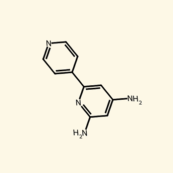 Nc1cc(N)nc(-c2ccncc2)c1